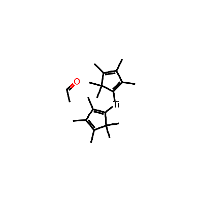 CC1=C(C)C(C)(C)[C]([Ti][C]2=C(C)C(C)=C(C)C2(C)C)=C1C.CC=O